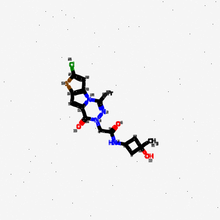 CC(C)c1nn(CC(=O)NC2CC(C)(O)C2)c(=O)c2cc3sc(Cl)cc3n12